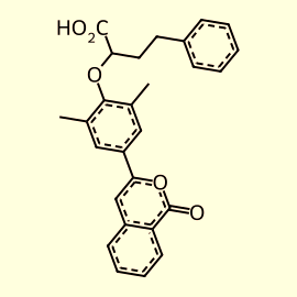 Cc1cc(-c2cc3ccccc3c(=O)o2)cc(C)c1OC(CCc1ccccc1)C(=O)O